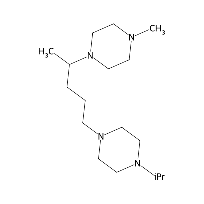 CC(C)N1CCN(CCCC(C)N2CCN(C)CC2)CC1